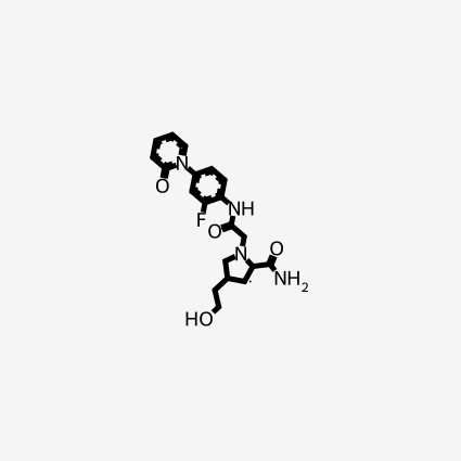 NC(=O)C1[CH]C(CCO)CN1CC(=O)Nc1ccc(-n2ccccc2=O)cc1F